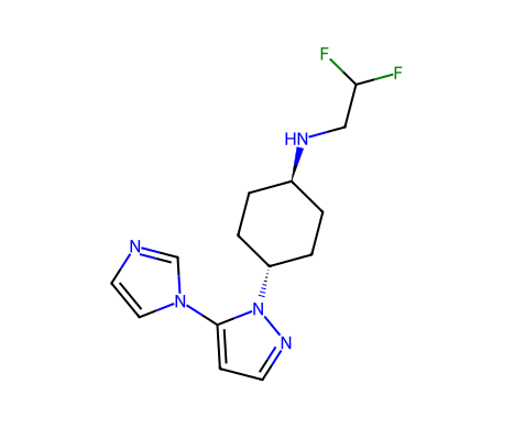 FC(F)CN[C@H]1CC[C@H](n2nccc2-n2ccnc2)CC1